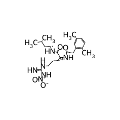 Cc1ccc(C)c(CC(=O)N[C@@H](CCCNC(=N)N[N+](=O)[O-])C(=O)N[CH]CC(C)C)c1